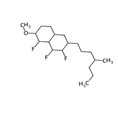 CCCC(C)CCCC1CC2CCC(OC)C(F)C2C(F)C1F